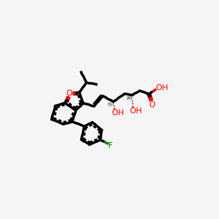 CC(C)c1oc2cccc(-c3ccc(F)cc3)c2c1C=C[C@@H](O)C[C@@H](O)CC(=O)O